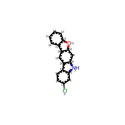 Clc1ccc2c(c1)[nH]c1cc3oc4ccccc4c3cc12